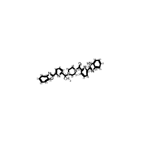 C=C(c1cccc(-c2nc3ccccc3o2)n1)N1CCN(C(=O)c2cccc(-c3nc4ccccc4[nH]3)n2)CC1